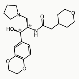 O=C(CC1CCOCC1)N[C@H](CN1CCCC1)[C@H](O)c1ccc2c(c1)OCCO2